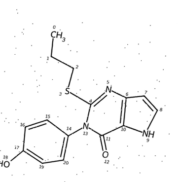 CCCSc1nc2cc[nH]c2c(=O)n1-c1ccc(O)cc1